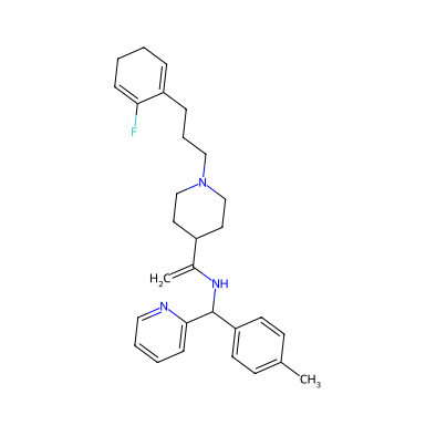 C=C(NC(c1ccc(C)cc1)c1ccccn1)C1CCN(CCCC2=CCCC=C2F)CC1